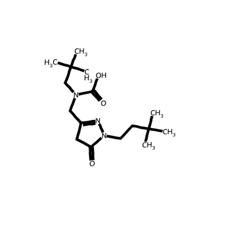 CC(C)(C)CCN1N=C(CN(CC(C)(C)C)C(=O)O)CC1=O